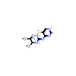 CC(C)C(C)NC1=Nc2ncncc2SN1